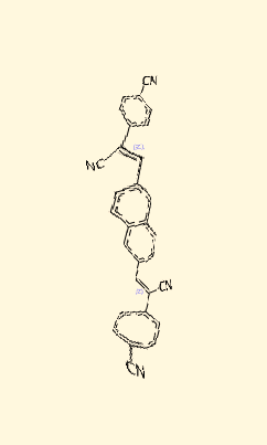 N#C/C(=C\c1ccc2cc(/C=C(\C#N)c3ccc(C#N)cc3)ccc2c1)c1ccc(C#N)cc1